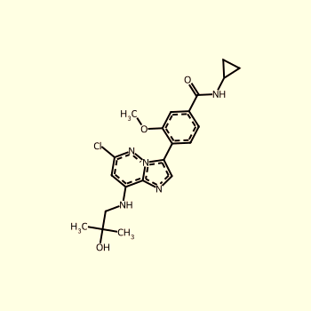 COc1cc(C(=O)NC2CC2)ccc1-c1cnc2c(NCC(C)(C)O)cc(Cl)nn12